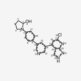 OC1CCCN1c1ccc(-c2cncc(-c3cc(Cl)nc4n[nH]cc34)c2)cc1